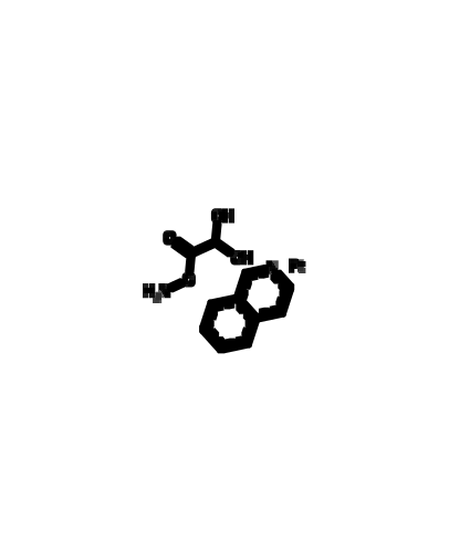 NOC(=O)C(O)O.[Pt].c1ccc2cnccc2c1